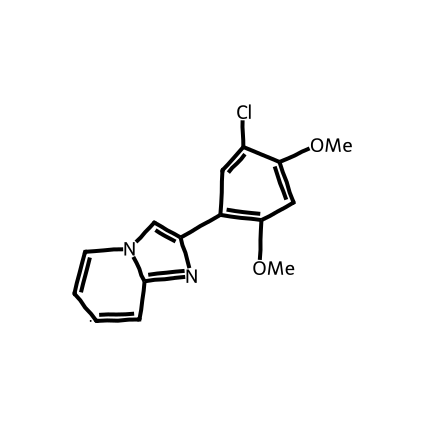 COc1cc(OC)c(-c2cn3cc[c]cc3n2)cc1Cl